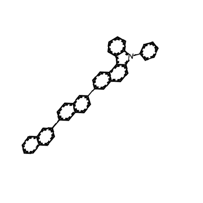 c1ccc(-n2c3ccccc3c3c4ccc(-c5ccc6cc(-c7ccc8ccccc8c7)ccc6c5)cc4ccc32)cc1